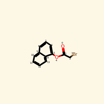 O=C(CBr)Oc1cccc2ccccc12